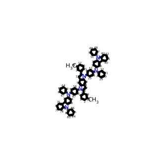 Cc1cccc(-c2cc3cc4c(cc(-c5cccc(C)c5)n4-c4ccc(N(c5ccccc5)c5ccc6c(c5)c5ccccc5n6-c5ccccc5)cc4)cc3n2-c2ccc(N(c3ccccc3)c3ccc4c(c3)c3ccccc3n4-c3ccccc3)cc2)c1